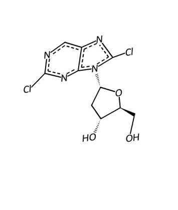 OC[C@@H]1O[C@@H](n2c(Cl)nc3cnc(Cl)nc32)C[C@H]1O